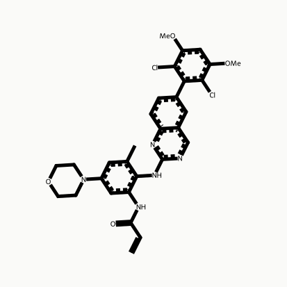 C=CC(=O)Nc1cc(N2CCOCC2)cc(C)c1Nc1ncc2cc(-c3c(Cl)c(OC)cc(OC)c3Cl)ccc2n1